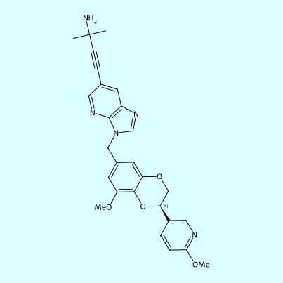 COc1ccc([C@@H]2COc3cc(Cn4cnc5cc(C#CC(C)(C)N)cnc54)cc(OC)c3O2)cn1